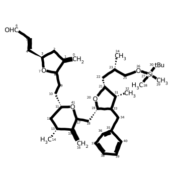 C=C1C[C@H](/C=C/C=O)OC1CC[C@H]1C[C@@H](C)C(=C)C(C[C@@H]2O[C@H](C[C@H](C)CO[Si](C)(C)C(C)(C)C)[C@H](C)C2Cc2ccccc2)O1